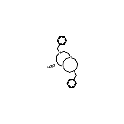 [Cl-].[Cl-].[Mn+2].c1ccc(CN2CCCN3CCN(CCCN(Cc4ccccc4)CC3)CC2)cc1